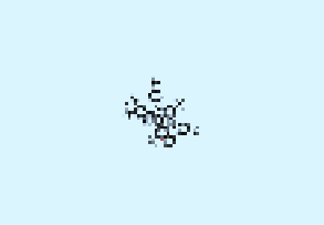 CC(C)(C)c1ccc(N2c3cc(C(C)(C)C)cc4c3B(c3cc(C(C)(C)C)ccc3N4c3ccc(C(C)(C)C)cc3-c3ccccc3)c3oc4cc5c(cc4c32)C(C)(C)CCC5(C)C)cc1